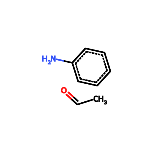 CC=O.Nc1ccccc1